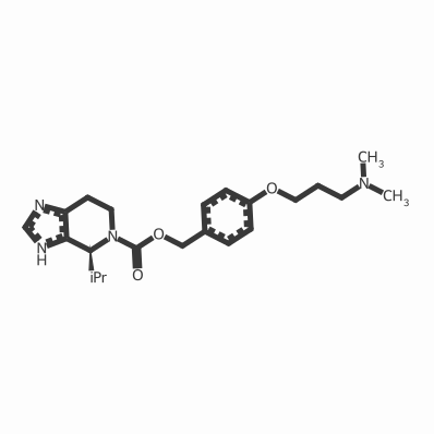 CC(C)[C@H]1c2[nH]cnc2CCN1C(=O)OCc1ccc(OCCCN(C)C)cc1